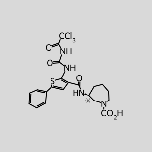 O=C(NC(=O)C(Cl)(Cl)Cl)Nc1sc(-c2ccccc2)cc1C(=O)N[C@H]1CCCCN(C(=O)O)C1